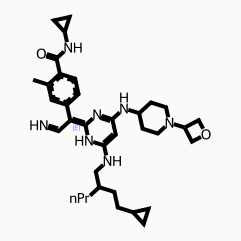 CCCC(CCC1CC1)CNC1=CC(NC2CCN(C3COC3)CC2)=N/C(=C(/C=N)c2ccc(C(=O)NC3CC3)c(C)c2)N1